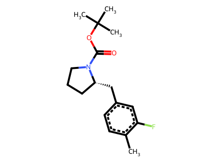 Cc1ccc(C[C@@H]2CCCN2C(=O)OC(C)(C)C)cc1F